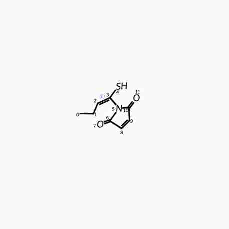 CC/C=C(/S)N1C(=O)C=CC1=O